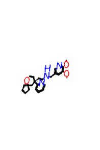 COc1cc(CNCC[C@]2(c3ccccn3)CCOC3(CCCC3)C2)cnc1OC